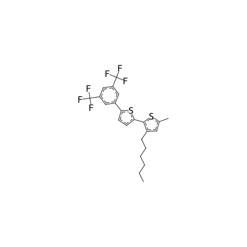 CCCCCCc1cc(C)sc1-c1ccc(-c2cc(C(F)(F)F)cc(C(F)(F)F)c2)s1